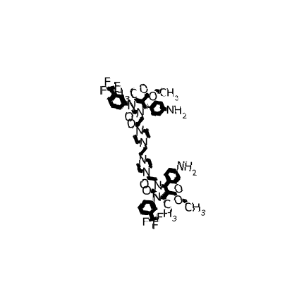 CCOC(=O)C1=C(C)N(c2cccc(C(F)(F)F)c2)C(=O)N(CC(=O)N2CCN(CCN3CCN(C(=O)CN4C(=O)N(c5cccc(C(F)(F)F)c5)C(C)=C(C(=O)OCC)[C@H]4c4ccc(N)cc4)CC3)CC2)C1c1ccc(N)cc1